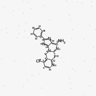 Nc1ncn(Cc2c(Cl)ccnc2F)c2nc(-c3ccccc3)nc1-2